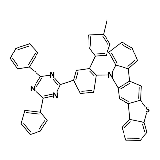 Cc1ccc(-c2cc(-c3nc(-c4ccccc4)nc(-c4ccccc4)n3)ccc2-n2c3ccccc3c3cc4sc5ccccc5c4cc32)cc1